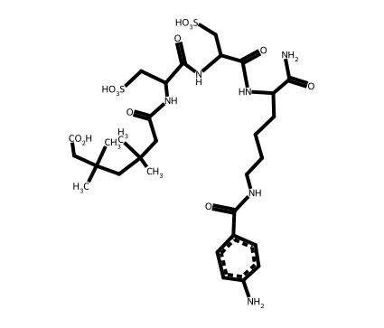 CC(C)(CC(=O)O)CC(C)(C)CC(=O)NC(CS(=O)(=O)O)C(=O)NC(CS(=O)(=O)O)C(=O)NC(CCCCNC(=O)c1ccc(N)cc1)C(N)=O